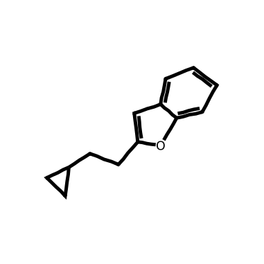 c1ccc2oc(CCC3CC3)cc2c1